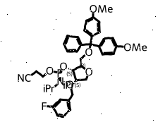 COc1ccc(C(OC[C@H]2OC[C@H](OCc3cccc(F)c3)[C@@H]2OP(OCCC#N)N(C(C)C)C(C)C)(c2ccccc2)c2ccc(OC)cc2)cc1